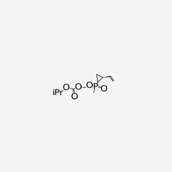 C=C[C@@H]1C[C@@H]1P(C)(=O)OCOC(=O)OC(C)C